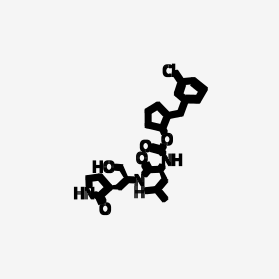 CC(C)C[C@H](NC(=O)OC1CCCC1Cc1cccc(Cl)c1)C(=O)N[C@H](CO)C[C@@H]1CCNC1=O